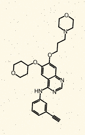 C#Cc1cccc(Nc2ncnc3cc(OCCCN4CCOCC4)c(OC4CCOCC4)cc23)c1